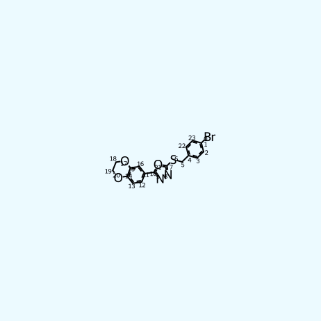 Brc1ccc(CSc2nnc(-c3ccc4c(c3)OCCO4)o2)cc1